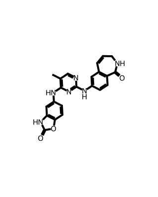 Cc1cnc(Nc2ccc3c(c2)C=CCNC3=O)nc1Nc1ccc2oc(=O)[nH]c2c1